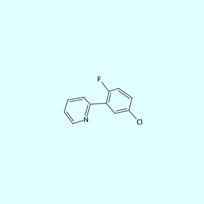 Fc1ccc(Cl)cc1-c1[c]cccn1